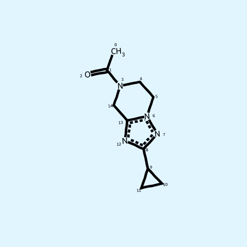 CC(=O)N1CCn2nc(C3CC3)nc2C1